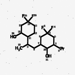 CC(C)C1CC(F)(F)CC(CC(C)C2CCC(F)(F)CC2O)C1O